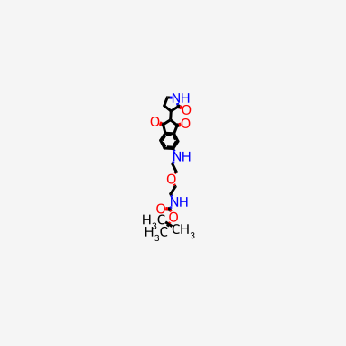 CC(C)(C)OC(=O)NCCOCCNc1ccc2c(c1)C(=O)C(C1CCNC1=O)C2=O